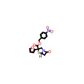 O=C1C[C@H]2SC(C(=O)OCc3ccc([N+](=O)[O-])cc3)(c3ccco3)CN12